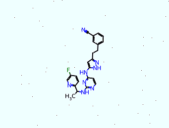 CC(Nc1nccc(Nc2cc(CCc3cccc(C#N)c3)n[nH]2)n1)c1ccc(F)cn1